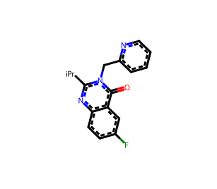 CC(C)c1nc2ccc(F)cc2c(=O)n1Cc1ccccn1